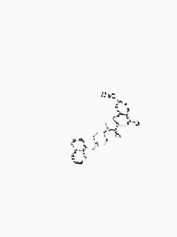 COc1ccc2c(=O)cc(C(=O)NC3CCN(Cc4cccc5ccccc45)CC3)oc2c1